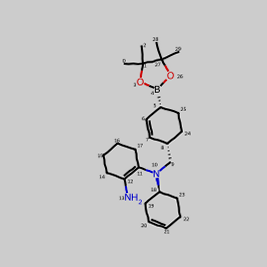 CC1(C)OB([C@H]2C=C[C@@H](CN(C3=C(N)CCCC3)[C@@H]3CC=CCC3)CC2)OC1(C)C